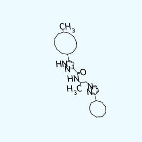 CC1CCCCCC(c2cc(C(=O)N[C@H](C)Cn3ccc(C4CCCCCCCC4)n3)n[nH]2)CCCCC1